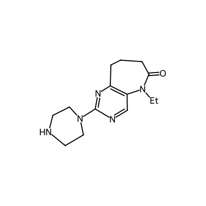 CCN1C(=O)CCCc2nc(N3CCNCC3)ncc21